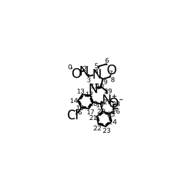 CON=CN1CCOCC1C1=Nc2ccc(Cl)cc2C(c2ccccc2F)=[N+]([O-])C1